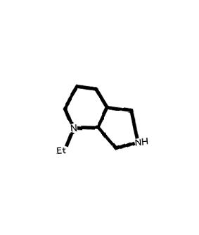 CCN1CCCC2CNCC21